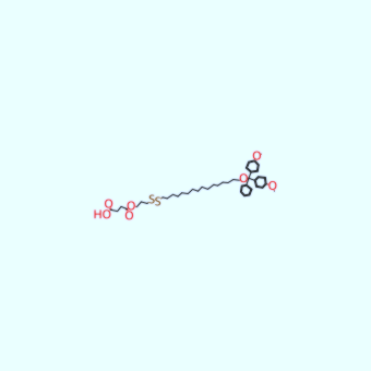 COc1ccc(C(OCCCCCCCCCCCCCCCCSSCCCOC(=O)CCC(=O)O)(c2ccccc2)c2ccc(OC)cc2)cc1